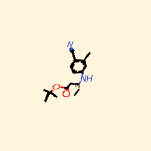 CC[C@H](CC(=O)OC(C)(C)C)Nc1ccc(C#N)c(C)c1